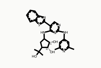 Cc1cc(Nc2ncc(-c3nc4ccccc4s3)c(NC3CC(C(C)(C)O)[C@@H](O)[C@H]3O)n2)cc(C)n1